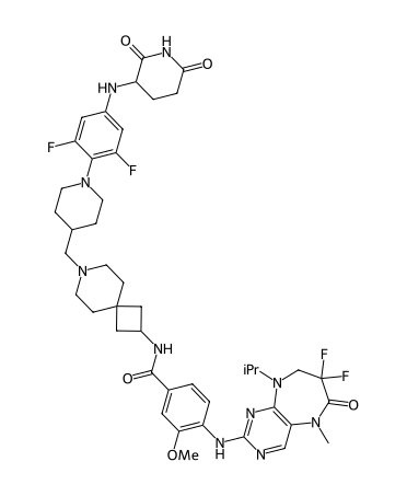 COc1cc(C(=O)NC2CC3(CCN(CC4CCN(c5c(F)cc(NC6CCC(=O)NC6=O)cc5F)CC4)CC3)C2)ccc1Nc1ncc2c(n1)N(C(C)C)CC(F)(F)C(=O)N2C